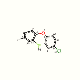 Cc1ccc(Oc2ccc(Cl)cc2)c(F)c1